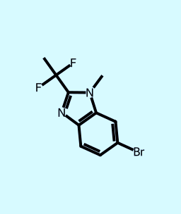 Cn1c(C(C)(F)F)nc2ccc(Br)cc21